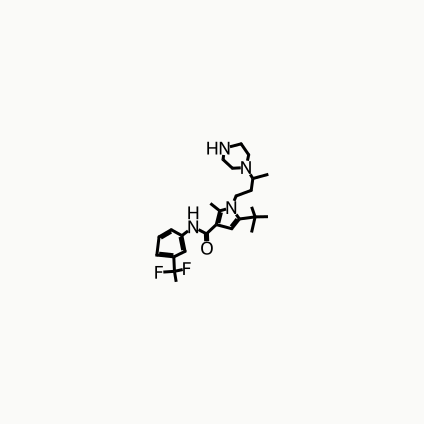 Cc1c(C(=O)Nc2cccc(C(C)(F)F)c2)cc(C(C)(C)C)n1CCC(C)N1CCNCC1